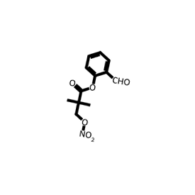 CC(C)(CO[N+](=O)[O-])C(=O)Oc1ccccc1C=O